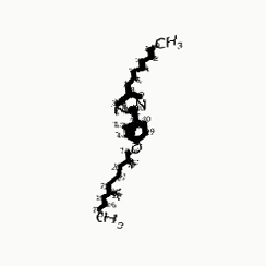 CCCCCCCCc1cnc(-c2ccc(OCC(F)CCCC(F)CCCC)cc2)nc1